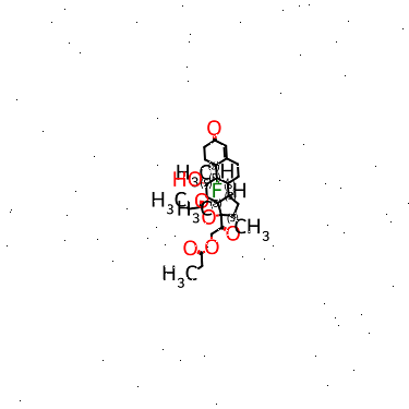 CCC(=O)OCC(=O)C1(OC(=O)CC)[C@@H](C)C[C@H]2[C@@H]3CCC4=CC(=O)CC[C@]4(C)[C@@]3(F)[C@@H](O)C[C@@]21C